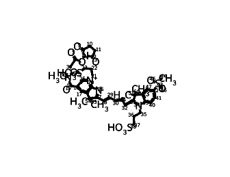 CN(OCC(=O)ON1C(=O)CCC1=O)C(=O)c1cc2c([n+](CCCS(=O)(=O)O)c1)N=C(/C=C/C=C/C=C1/N(CCCS(=O)(=O)O)c3ccc(S(C)(=O)=O)cc3C1(C)C)C2(C)C